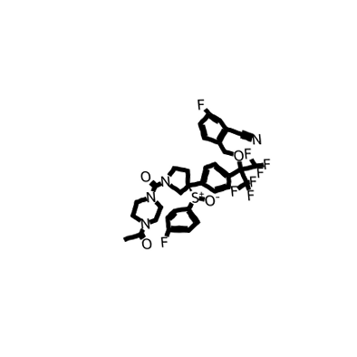 CC(=O)N1CCN(C(=O)N2CC[C@](c3ccc(C(OCc4ccc(F)cc4C#N)(C(F)(F)F)C(F)(F)F)cc3)([S+]([O-])c3ccc(F)cc3)C2)CC1